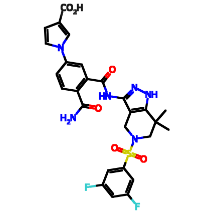 CC1(C)CN(S(=O)(=O)c2cc(F)cc(F)c2)Cc2c(NC(=O)c3cc(-n4ccc(C(=O)O)c4)ccc3C(N)=O)n[nH]c21